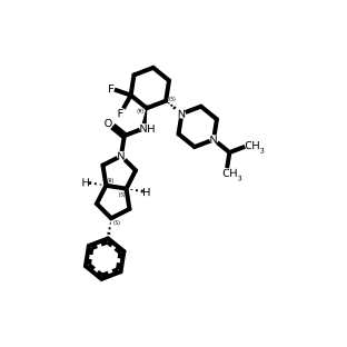 CC(C)N1CCN([C@H]2CCCC(F)(F)[C@@H]2NC(=O)N2C[C@H]3C[C@H](c4ccccc4)C[C@H]3C2)CC1